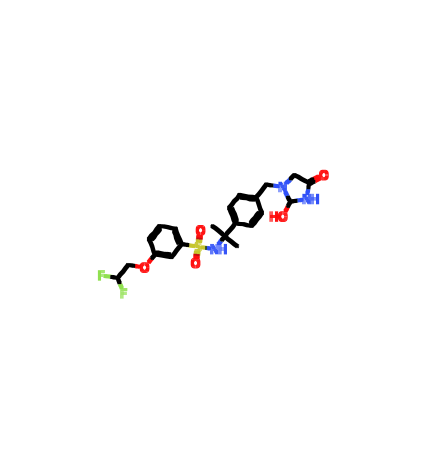 CC(C)(NS(=O)(=O)c1cccc(OCC(F)F)c1)c1ccc(CN2CC(=O)NC2O)cc1